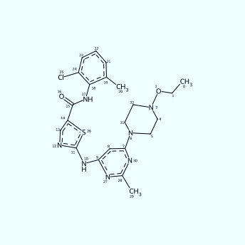 CCON1CCN(c2cc(Nc3ncc(C(=O)Nc4c(C)cccc4Cl)s3)nc(C)n2)CC1